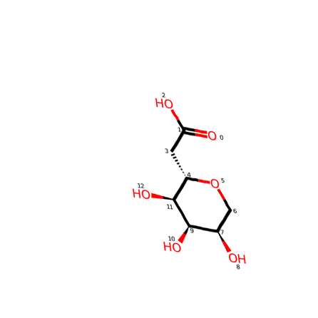 O=C(O)C[C@@H]1OC[C@@H](O)[C@@H](O)[C@H]1O